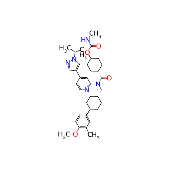 CNC(=O)O[C@H]1CC[C@H](C(=O)N(C[C@H]2CC[C@H](c3ccc(OC)c(C)c3)CC2)c2cc(-c3cnn(C(C)C)c3)ccn2)CC1